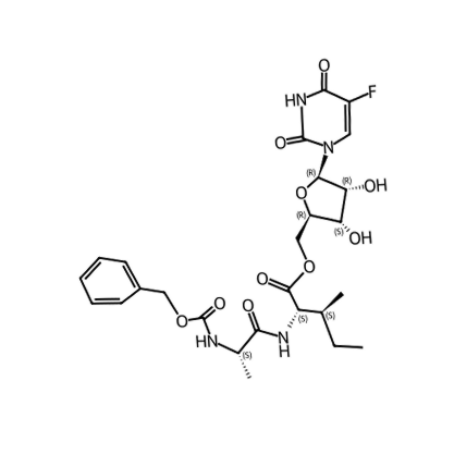 CC[C@H](C)[C@H](NC(=O)[C@H](C)NC(=O)OCc1ccccc1)C(=O)OC[C@H]1O[C@@H](n2cc(F)c(=O)[nH]c2=O)[C@H](O)[C@@H]1O